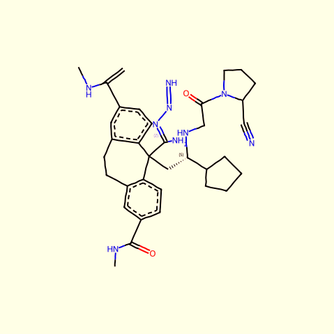 C=C(NC)c1ccc2c(c1)CCc1cc(C(=O)NC)ccc1C2(C[C@H](NCC(=O)N1CCCC1C#N)C1CCCC1)/C(N)=N/N=N